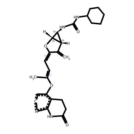 C=C1/C(=C\C=C(/C)Oc2ccnc3c2CCC(=O)N3)O[C@@H]2[C@@H](NC(=O)NC3CCCCC3)[C@H]12